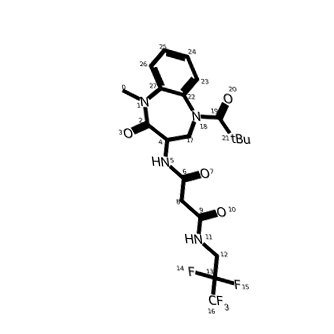 CN1C(=O)C(NC(=O)CC(=O)NCC(F)(F)C(F)(F)F)CN(C(=O)C(C)(C)C)c2ccccc21